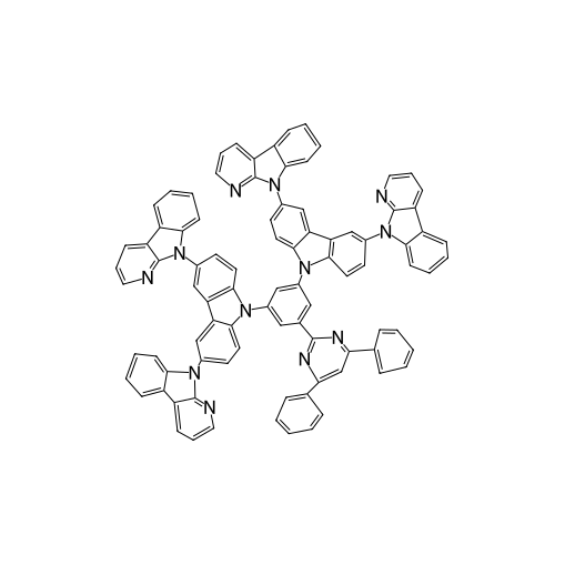 c1ccc(-c2cc(-c3ccccc3)nc(-c3cc(-n4c5ccc(-n6c7ccccc7c7cccnc76)cc5c5cc(-n6c7ccccc7c7cccnc76)ccc54)cc(-n4c5ccc(-n6c7ccccc7c7cccnc76)cc5c5cc(-n6c7ccccc7c7cccnc76)ccc54)c3)n2)cc1